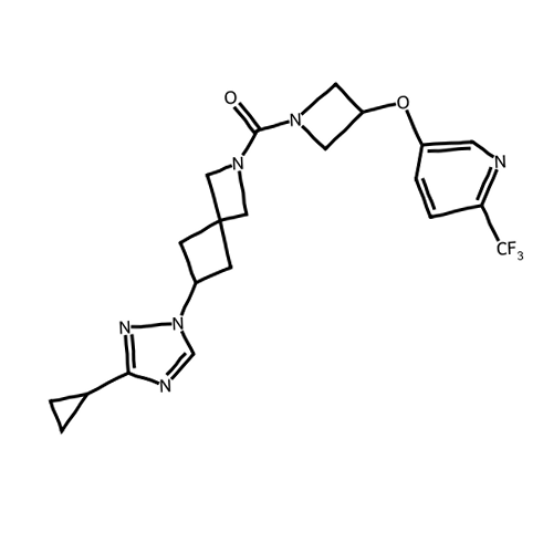 O=C(N1CC(Oc2ccc(C(F)(F)F)nc2)C1)N1CC2(CC(n3cnc(C4CC4)n3)C2)C1